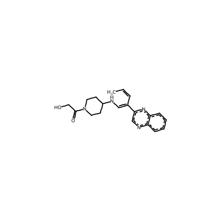 C/C=C\C(=C/NC1CCN(C(=O)CO)CC1)c1cnc2ccccc2n1